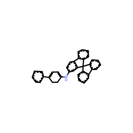 C1=C(Nc2ccc3c(c2)C2(c4ccccc4-c4ccccc42)c2ccccc2-3)CCC(c2ccccc2)=C1